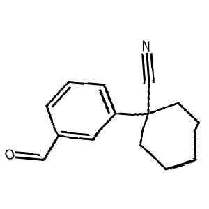 N#CC1(c2cccc(C=O)c2)CCCCC1